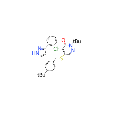 CC(C)(C)c1ccc(CSc2cnn(C(C)(C)C)c(=O)c2Cl)cc1.[c]1ccc(-c2cc[nH]n2)cc1